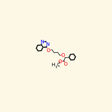 COC(=O)C(OCCCCOc1ncnc2ccccc12)c1ccccc1